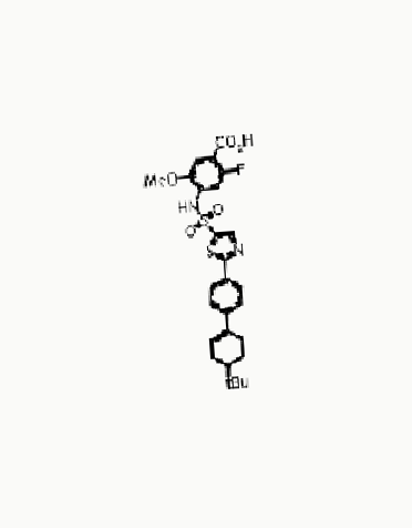 COc1cc(C(=O)O)c(F)cc1NS(=O)(=O)c1cnc(-c2ccc(C3=CCC(C(C)(C)C)CC3)cc2)s1